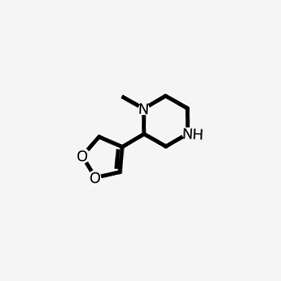 CN1CCNCC1C1=COOC1